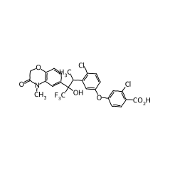 CC(c1cc(Oc2ccc(C(=O)O)c(Cl)c2)ccc1Cl)C(O)(c1ccc2c(c1)N(C)C(=O)CO2)C(F)(F)F